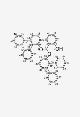 Oc1ccccc1C(Oc1cccc(-c2ccccc2)c1-c1ccccc1)Oc1cccc(-c2ccccc2)c1-c1ccccc1